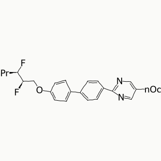 CCCCCCCCc1cnc(-c2ccc(-c3ccc(OC[C@@H](F)[C@H](F)CCC)cc3)cc2)nc1